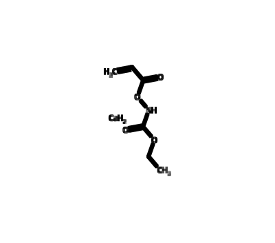 C=CC(=O)ONC(=O)OCC.[CaH2]